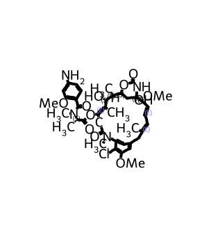 COc1cc(N)ccc1C(=O)N(C)[C@@H](C)C(=O)O/C1=C(/C)[C@@H](O)[C@H](C)[C@@H]2C[C@@](O)(NC(=O)O2)[C@H](OC)/C=C/C=C(\C)Cc2cc(OC)c(Cl)c(c2)N(C)C(=O)C1